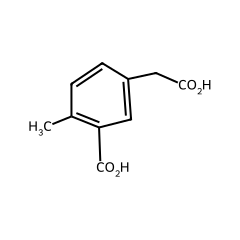 Cc1ccc(CC(=O)O)cc1C(=O)O